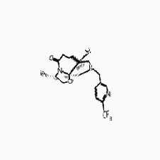 CC(C)[C@H]1CO[C@]23CCN(Cc4ccc(C(F)(F)F)nc4)C[C@H]2CCC(=O)N13